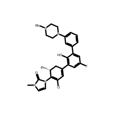 CC(C)[C@@H]1CC(c2cc(F)cc(-c3cccc(N4CCN(C(C)(C)C)CC4)c3)c2O)=CC(Cl)=C1n1ccn(C)c1=O